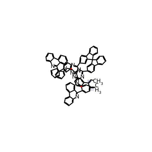 C/C=C\C(=C/C)c1cccc(-c2nc(-c3ccc4c(c3)C3(c5ccccc5-4)c4ccccc4-c4ccc(-c5nc(-c6cccc(-c7ccccc7)c6)nc(N6c7ccccc7-c7nc8ccccc8c8cccc6c78)n5)cc43)nc(N3c4ccccc4-c4nc5ccccc5c5cccc3c45)n2)c1